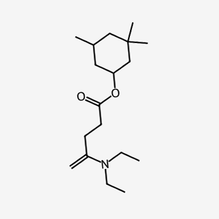 C=C(CCC(=O)OC1CC(C)CC(C)(C)C1)N(CC)CC